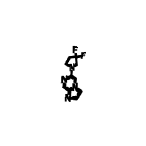 FC1(F)CCN(c2cn3ccnc3cn2)C1